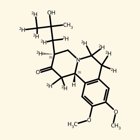 [2H]C1([2H])C(=O)[C@@]([2H])(C([2H])([2H])C(C)(O)C([2H])([2H])[2H])CN2[C@@H]1c1cc(OC)c(OC)cc1C([2H])([2H])C2([2H])[2H]